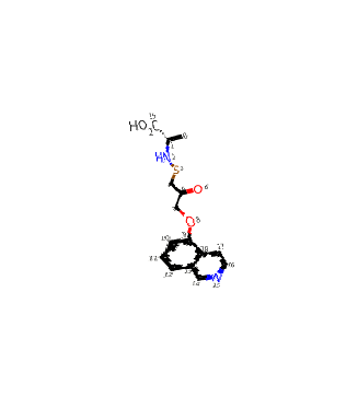 C[C@H](NSCC(=O)COc1cccc2cnccc12)C(=O)O